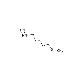 COCCCCCNN